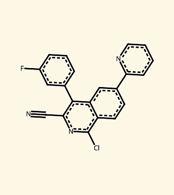 N#Cc1nc(Cl)c2ccc(-c3ccccn3)cc2c1-c1cccc(F)c1